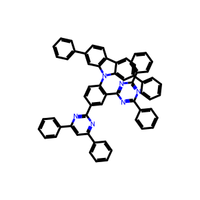 c1ccc(-c2ccc3c4ccc(-c5ccccc5)cc4n(-c4ccc(-c5nc(-c6ccccc6)cc(-c6ccccc6)n5)cc4-c4nc(-c5ccccc5)nc(-c5ccccc5)n4)c3c2)cc1